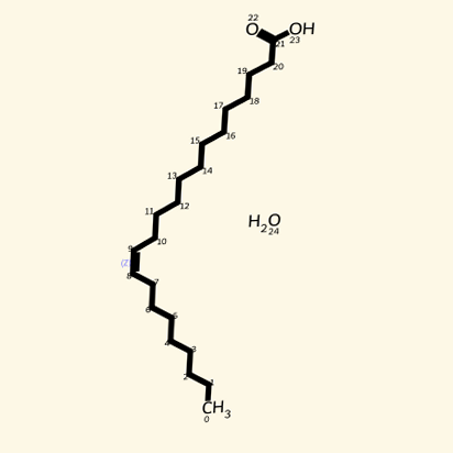 CCCCCCCC/C=C\CCCCCCCCCCCC(=O)O.O